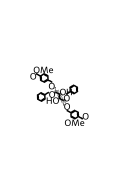 COC(=O)c1ccc(COC[C@@H](OCc2ccccc2)[C@@H](O)[C@H](O)[C@@H](COCc2ccc(C(=O)OC)cc2)OCc2ccccc2)cc1